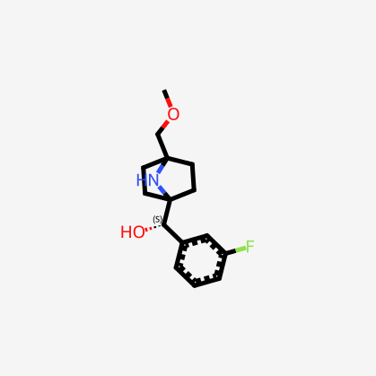 COCC12CCC([C@@H](O)c3cccc(F)c3)(CC1)N2